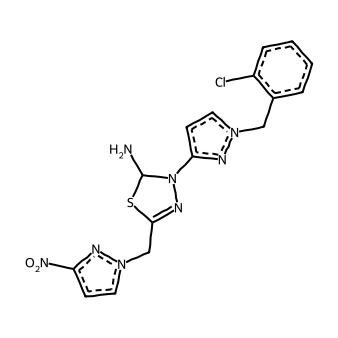 NC1SC(Cn2ccc([N+](=O)[O-])n2)=NN1c1ccn(Cc2ccccc2Cl)n1